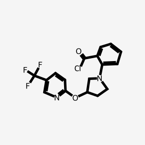 O=C(Cl)c1ccccc1N1CCC(Oc2ccc(C(F)(F)F)cn2)C1